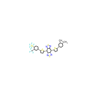 Cc1ccc(-c2ccc(-c3c4c(c(-c5ccc(-c6ccc(S(F)(F)(F)(F)F)c(C(F)(F)F)c6)s5)c5nsnc35)N=S=N4)s2)cc1C